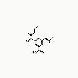 CCCN(C)C(=O)c1cc(C=C(F)F)cc(C(=O)O)c1